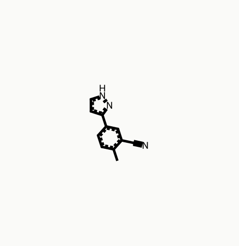 Cc1ccc(-c2cc[nH]n2)cc1C#N